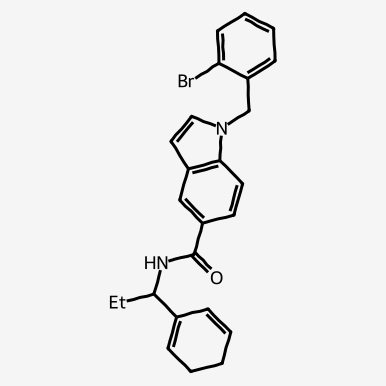 CCC(NC(=O)c1ccc2c(ccn2Cc2ccccc2Br)c1)C1=CCCC=C1